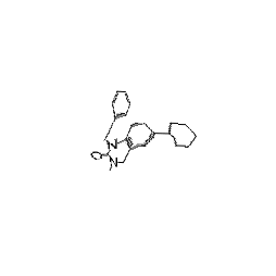 CN1Cc2cc(C3CCCCC3)ccc2N(Cc2ccccc2)C1=O